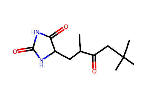 CC(CC1NC(=O)NC1=O)C(=O)CC(C)(C)C